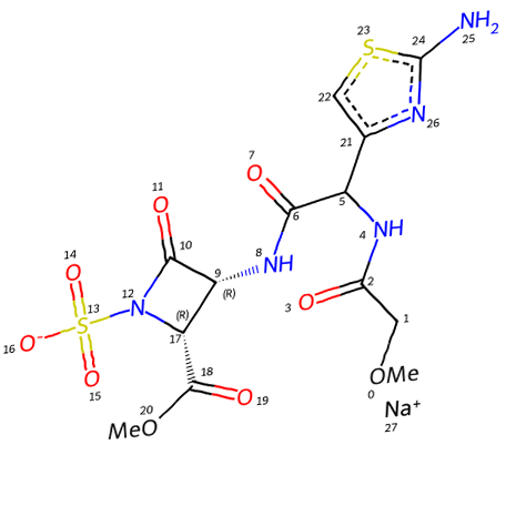 COCC(=O)NC(C(=O)N[C@H]1C(=O)N(S(=O)(=O)[O-])[C@H]1C(=O)OC)c1csc(N)n1.[Na+]